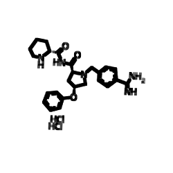 Cl.Cl.N=C(N)c1ccc(CN2C[C@@H](Oc3ccccc3)C[C@H]2C(=O)NC(=O)[C@H]2CCCCN2)cc1